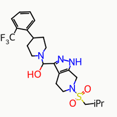 CC(C)CS(=O)(=O)N1CCc2c(C(O)N3CCC(c4ccccc4C(F)(F)F)CC3)n[nH]c2C1